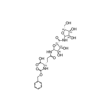 O=C(CC[C@H](NC(=O)OCc1ccccc1)C(=O)O)NC1O[C@H](C(=O)NC2O[C@H](CO)[C@@H](O)[C@H]2O)[C@@H](O)[C@H]1O